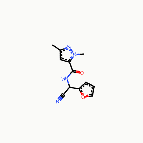 Cc1cc(C(=O)NC(C#N)c2ccco2)n(C)n1